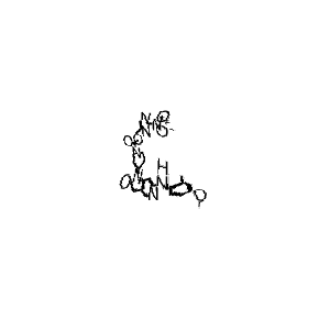 COc1ccc(Nc2cc3c(cn2)CC(=O)N3C2CCN(C(=O)OCc3cnc([N+](=O)[O-])n3C)CC2)c(C)c1